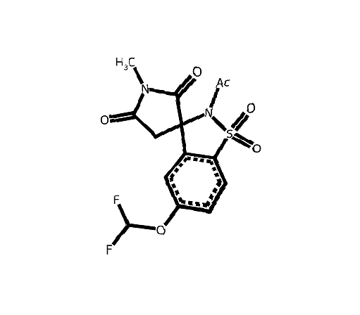 CC(=O)N1C2(CC(=O)N(C)C2=O)c2cc(OC(F)F)ccc2S1(=O)=O